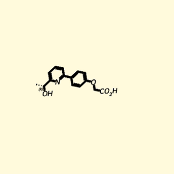 C[C@@H](O)c1cccc(-c2ccc(OCC(=O)O)cc2)n1